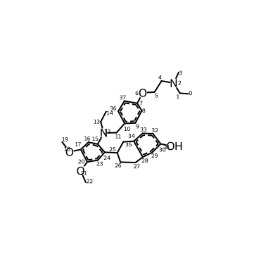 CCN(C)CCOc1ccc(CN(CC)c2cc(OC)c(OC)cc2C2CCc3cc(O)ccc3C2)cc1